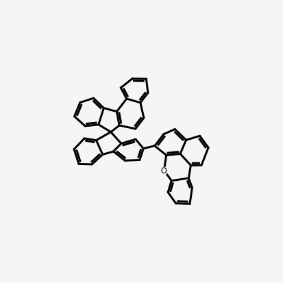 c1ccc2c(c1)Oc1c(-c3ccc4c(c3)C3(c5ccccc5-4)c4ccccc4-c4c3ccc3ccccc43)ccc3cccc-2c13